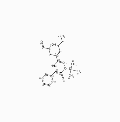 CCCC[C@H](CN(O)C=O)C(=O)N[C@H](C(=O)OC(C)(C)C)c1ccccc1